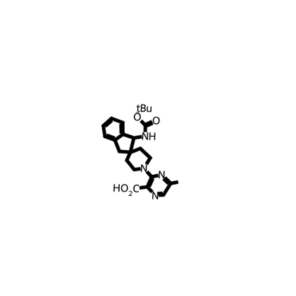 Cc1cnc(C(=O)O)c(N2CCC3(CC2)Cc2ccccc2C3NC(=O)OC(C)(C)C)n1